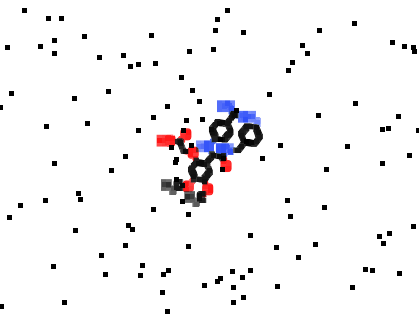 COc1cc(OCC(=O)O)c(C(Nc2ccc(C(=N)N)cc2)C(=O)NCc2ccccc2)cc1OC